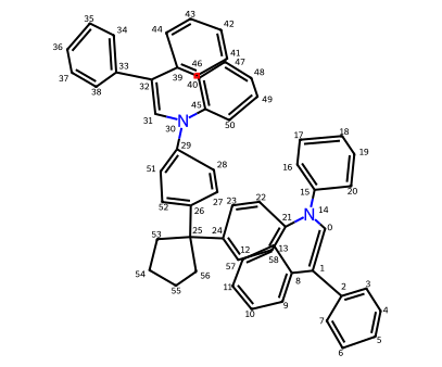 C(=C(c1ccccc1)c1ccccc1)N(c1ccccc1)c1ccc(C2(c3ccc(N(C=C(c4ccccc4)c4ccccc4)c4ccccc4)cc3)CCCC2)cc1